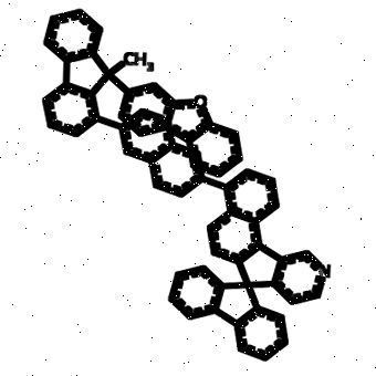 CC1(c2ccc3c(c2)oc2ccccc23)c2ccccc2-c2cccc(-c3ccc4cc(-c5cccc6c7c(ccc56)C5(c6ccccc6-c6ccccc65)c5ccncc5-7)ccc4c3)c21